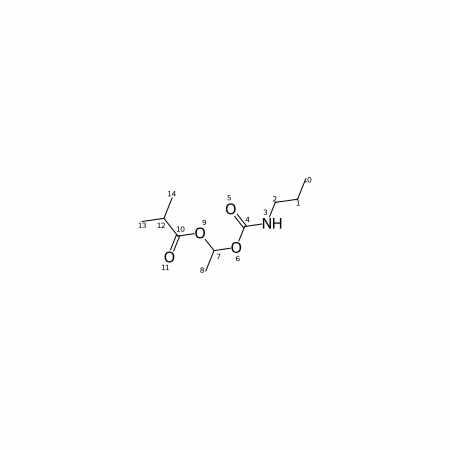 [CH2]CCNC(=O)OC(C)OC(=O)C(C)C